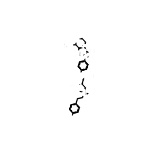 C[N+](C)(CCc1ccc(F)cc1)C[C@@H](O)COc1ccc(S(=O)(=O)NN2CCOC(C#N)C2Cl)cc1.Cl